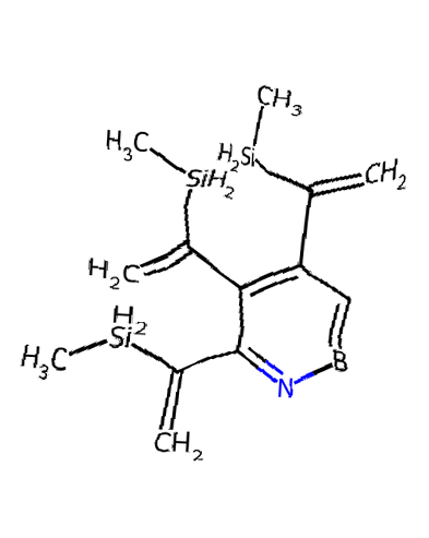 C=C([SiH2]C)c1cbnc(C(=C)[SiH2]C)c1C(=C)[SiH2]C